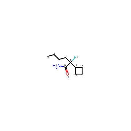 CCCCC(F)(C(N)=O)C1CCC1